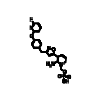 Nc1c(-c2cc(Cc3ccc(Oc4cccc(F)n4)cc3)no2)ccc[n+]1COP(=O)([O-])O